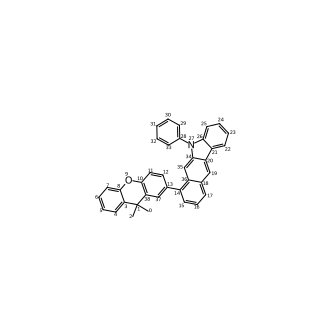 CC1(C)c2ccccc2Oc2ccc(-c3cccc4cc5c6ccccc6n(-c6ccccc6)c5cc34)cc21